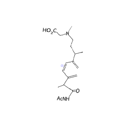 C=C(/C=C\C(=C)C(C)C(=O)NC(C)=O)C(C)CCN(C)CC(=O)O